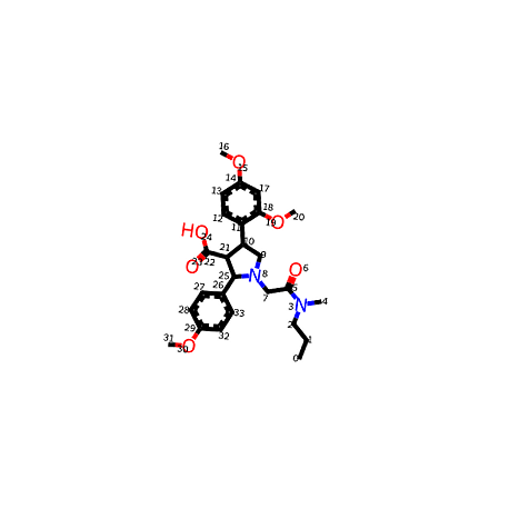 CCCN(C)C(=O)CN1CC(c2ccc(OC)cc2OC)C(C(=O)O)C1c1ccc(OC)cc1